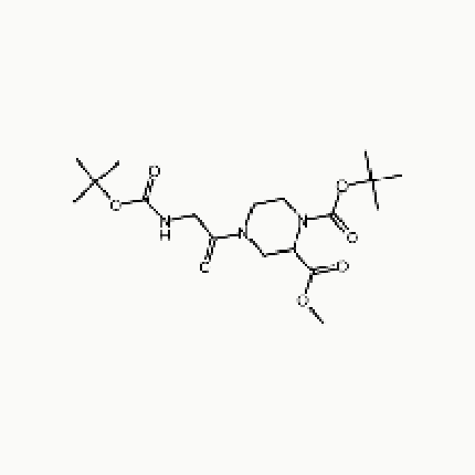 COC(=O)C1CN(C(=O)CNC(=O)OC(C)(C)C)CCN1C(=O)OC(C)(C)C